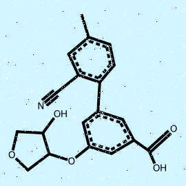 Cc1ccc(-c2cc(OC3COCC3O)cc(C(=O)O)c2)c(C#N)c1